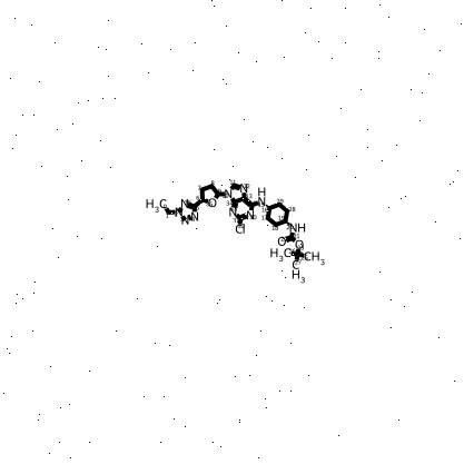 CCn1nnc(C2[CH][CH]C(n3cnc4c(N[C@H]5CC[C@H](NC(=O)OC(C)(C)C)CC5)nc(Cl)nc43)O2)n1